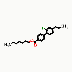 CCCCCCCOC(=O)c1ccc(-c2ccc(CCC)cc2F)cc1